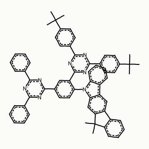 CC(C)(C)c1ccc(-c2nc(-c3ccc(C(C)(C)C)cc3)nc(-c3cc(-c4nc(-c5ccccc5)nc(-c5ccccc5)n4)ccc3-n3c4ccccc4c4cc5c(cc43)C(C)(C)c3ccccc3-5)n2)cc1